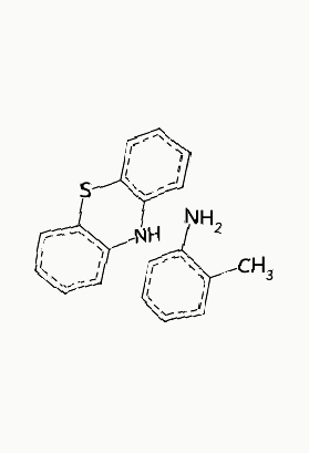 Cc1ccccc1N.c1ccc2c(c1)Nc1ccccc1S2